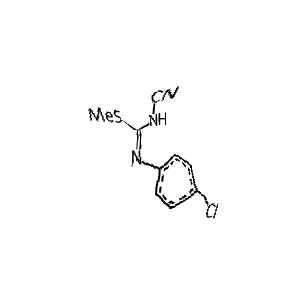 CSC(=Nc1ccc(Cl)cc1)NC#N